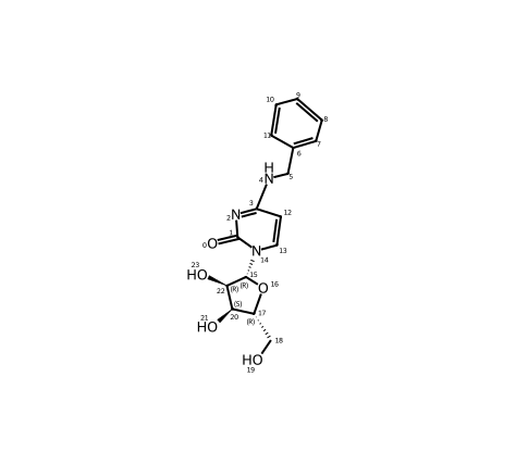 O=c1nc(NCc2ccccc2)ccn1[C@@H]1O[C@H](CO)[C@@H](O)[C@H]1O